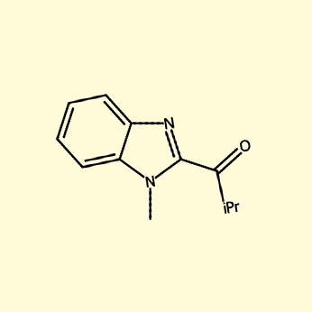 CC(C)C(=O)c1nc2ccccc2n1C